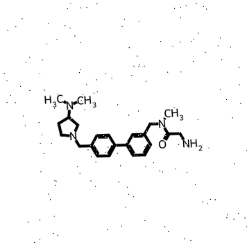 CN(Cc1cccc(-c2ccc(CN3CCC(N(C)C)C3)cc2)c1)C(=O)CN